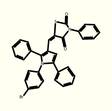 O=C1S/C(=C/c2cc(-c3ccccc3)n(-c3ccc(Br)cc3)c2-c2ccccc2)C(=O)N1c1ccccc1